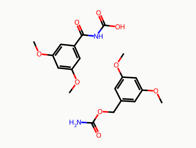 COc1cc(COC(N)=O)cc(OC)c1.COc1cc(OC)cc(C(=O)NC(=O)O)c1